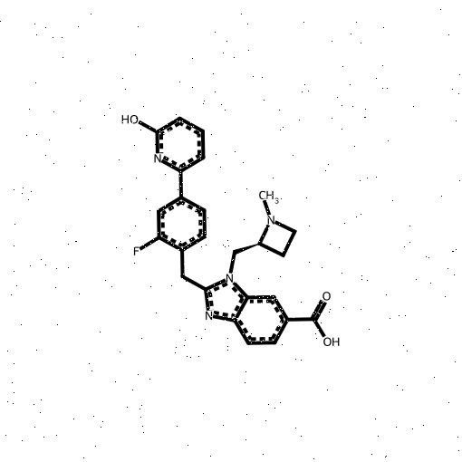 CN1CC[C@H]1Cn1c(Cc2ccc(-c3cccc(O)n3)cc2F)nc2ccc(C(=O)O)cc21